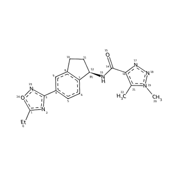 CCc1nc(-c2ccc3c(c2)CC[C@H]3NC(=O)c2nnn(C)c2C)no1